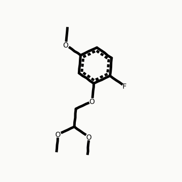 COc1ccc(F)c(OCC(OC)OC)c1